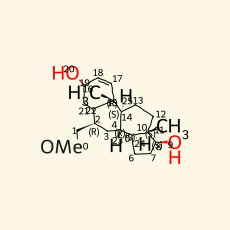 COC[C@@H]1C[C@H]2[C@@H]3CC[C@H](O)[C@@]3(C)CC[C@@H]2[C@@]2(C)C=CC(O)CC12